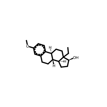 CCC12CC[C@@H]3c4ccc(OC)cc4CC[C@H]3[C@@H]1CC[C@@H]2O